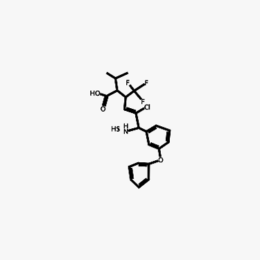 CC(C)C(C(=O)O)C(C=C(Cl)C(NS)c1cccc(Oc2ccccc2)c1)C(F)(F)F